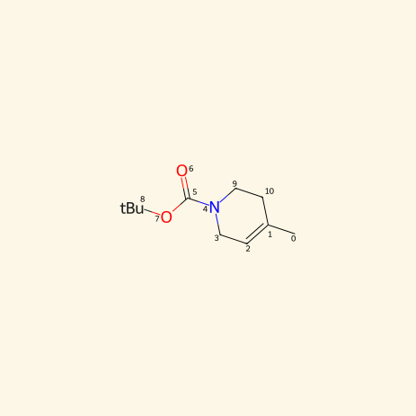 CC1=CCN(C(=O)OC(C)(C)C)CC1